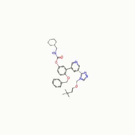 C[Si](C)(C)CCOCn1cnnc1-c1cncc(-c2cc(OC(=O)NCC3CCCCC3)ccc2OCc2ccccc2)c1